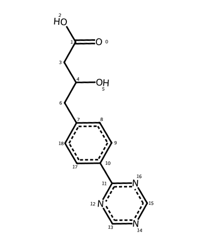 O=C(O)CC(O)Cc1ccc(-c2ncncn2)cc1